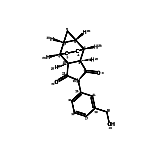 O=C1[C@@H]2[C@@H]3CC[C@@H]([C@@H]4C[C@@H]43)[C@@H]2C(=O)N1c1cccc(CO)c1